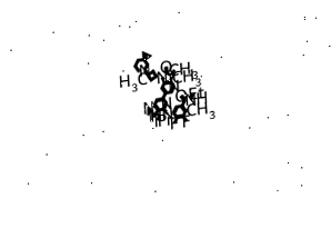 CCNC(=O)c1cc(Nc2nc(-c3cnc4c(c3)N(C3CC(C)(N5CCCC6(CC6)C5)C3)C(=O)C4(C)C)cc3ncn(C(C)C)c23)c(F)c(F)c1C